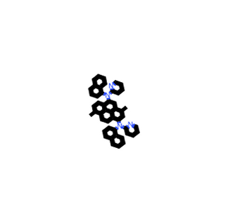 Cc1ccc2c(N(c3ccccn3)c3cccc4ccccc34)cc3c(C)cc(N(c4ccccn4)c4cccc5ccccc45)c4ccc1c2c34